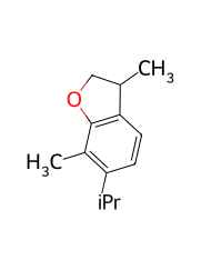 Cc1c(C(C)C)ccc2c1OCC2C